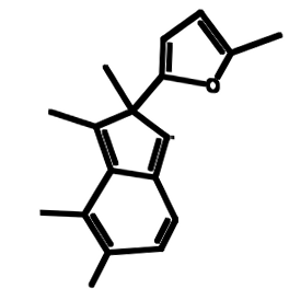 CC1=c2c(C)c(C)ccc2=[C]C1(C)c1ccc(C)o1